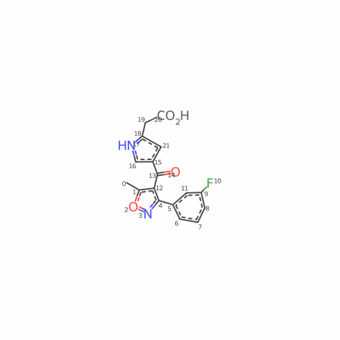 Cc1onc(-c2cccc(F)c2)c1C(=O)c1c[nH]c(CC(=O)O)c1